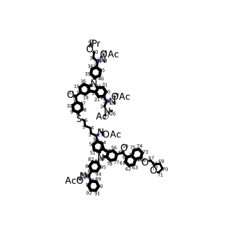 CC(=O)O/N=C(/CCCCSc1ccc(C(=O)c2ccc3c(c2)c2cc(/C(CN(C)C(C)=O)=N\OC(C)=O)ccc2n3-c2ccc(/C(CCOC(C)C)=N/OC(C)=O)cc2)cc1)c1ccc2c(c1)c1cc(C(=O)c3cccc4c(OCC5CCCO5)cccc34)ccc1n2-c1ccc(/C(=N/OC(C)=O)c2ccccc2)cc1